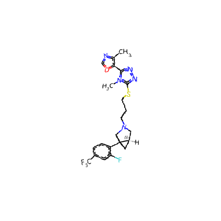 Cc1ncoc1-c1nnc(SCCCN2C[C@H]3CC3(c3ccc(C(F)(F)F)cc3F)C2)n1C